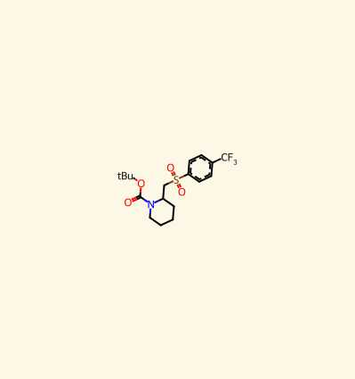 CC(C)(C)OC(=O)N1CCCCC1CS(=O)(=O)c1ccc(C(F)(F)F)cc1